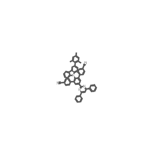 Cc1cc(C)c(-c2ccc3c(c2)c2ccccc2n3-c2c(-c3ccc(C#N)cc3)cc(-c3nc(-c4ccccc4)cc(-c4ccccc4)n3)cc2-c2ccc(C#N)cc2)c(C)c1